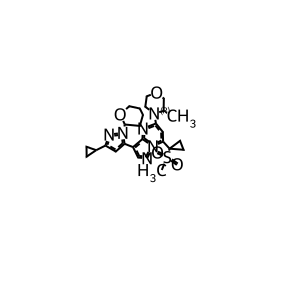 C[C@@H]1COCCN1c1cc(C2(S(C)(=O)=O)CC2)n2ncc(-c3cc(C4CC4)nn3C3CCCCO3)c2n1